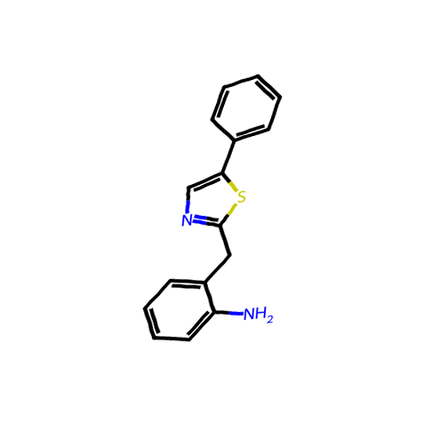 Nc1ccccc1Cc1ncc(-c2ccccc2)s1